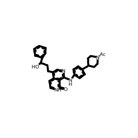 CC(=O)N1CCC(c2ccc(Nc3ncc(CCC(O)c4ccccc4)c4cc[nH]c(=O)c34)cc2)CC1